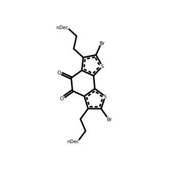 CCCCCCCCCCCCc1c(Br)sc2c1C(=O)C(=O)c1c-2sc(Br)c1CCCCCCCCCCCC